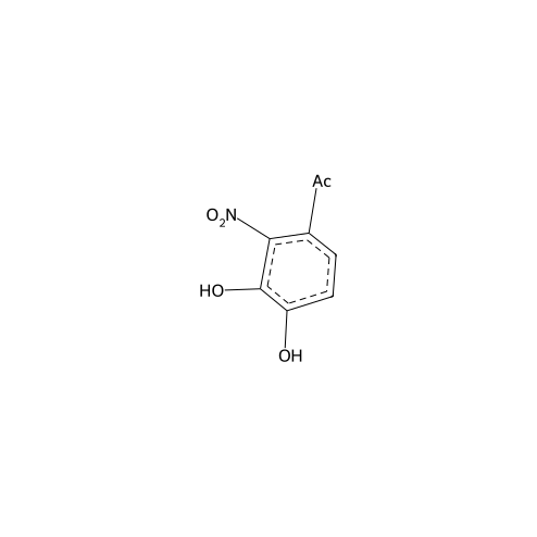 CC(=O)c1ccc(O)c(O)c1[N+](=O)[O-]